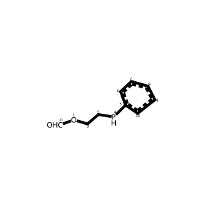 O=COCCPc1ccccc1